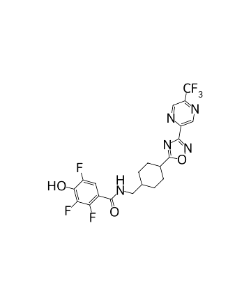 O=C(NCC1CCC(c2nc(-c3cnc(C(F)(F)F)cn3)no2)CC1)c1cc(F)c(O)c(F)c1F